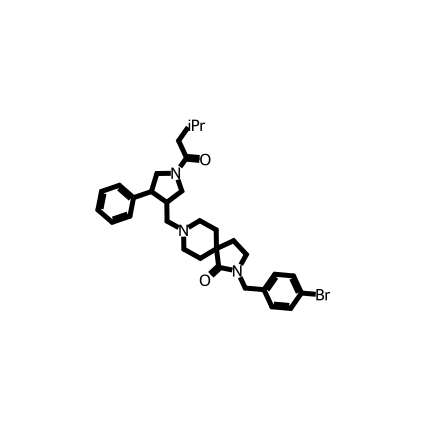 CC(C)CC(=O)N1CC(CN2CCC3(CC2)CCN(Cc2ccc(Br)cc2)C3=O)C(c2ccccc2)C1